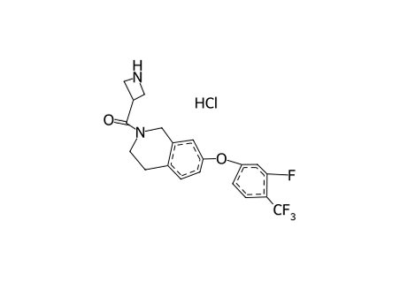 Cl.O=C(C1CNC1)N1CCc2ccc(Oc3ccc(C(F)(F)F)c(F)c3)cc2C1